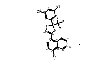 FC(F)(F)C1(c2cc(Cl)cc(Cl)c2)CC(c2ccc(Br)c3cnccc23)=NO1